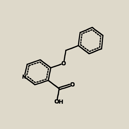 O=C(O)c1cnccc1OCc1ccccc1